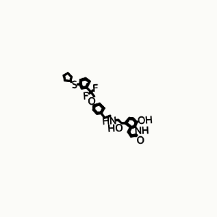 O=c1ccc2c(C(O)CNCCc3ccc(OCC(F)(F)c4cccc(SC5CCCC5)c4)cc3)ccc(O)c2[nH]1